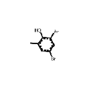 CC(=O)c1cc(Br)cc(C)c1O